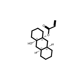 C=CC(=O)O[C@@]12CCCC[C@]1(O)C[C@@H]1CCCC[C@@H]1C2